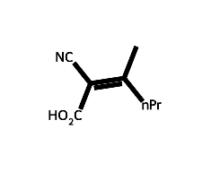 CCCC(C)=C(C#N)C(=O)O